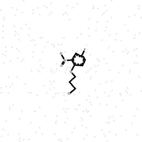 O=[N+]([O-])c1cc(F)ccc1OCCCCl